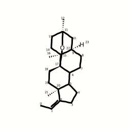 C/C=C1/CCC2C3CC[C@@H]4C[C@]5(C)CC[C@]4(C)[C@]3(CC[C@]12C)O5